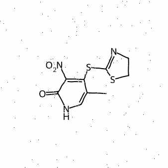 Cc1c[nH]c(=O)c([N+](=O)[O-])c1SC1=NCCS1